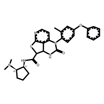 Cc1cc(Oc2ccccc2)ccc1N1C(=O)NC2c3c1ccnc3SC2C(=O)N[C@H]1CCC[C@H]1N(C)C